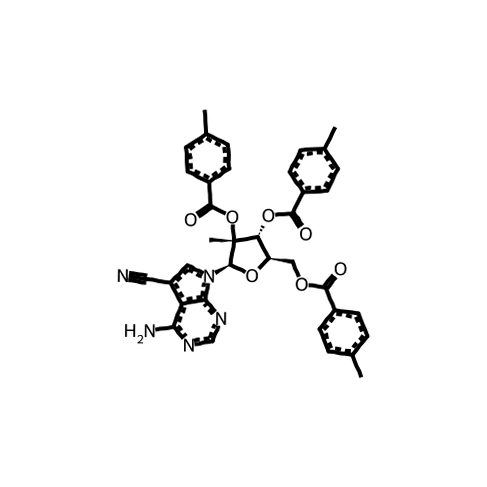 Cc1ccc(C(=O)OC[C@H]2O[C@@H](n3cc(C#N)c4c(N)ncnc43)[C@](C)(OC(=O)c3ccc(C)cc3)[C@@H]2OC(=O)c2ccc(C)cc2)cc1